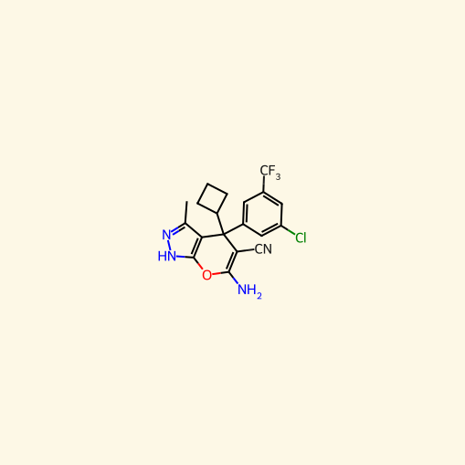 Cc1n[nH]c2c1C(c1cc(Cl)cc(C(F)(F)F)c1)(C1CCC1)C(C#N)=C(N)O2